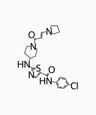 O=C(Nc1ccc(Cl)cc1)c1cnc(NC2CCN(C(=O)C=CN3CCCC3)CC2)s1